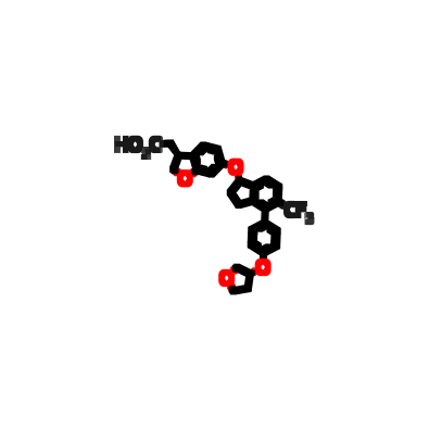 O=C(O)C[C@@H]1COc2cc(O[C@@H]3CCc4c3ccc(C(F)(F)F)c4-c3ccc(O[C@H]4CCOC4)cc3)ccc21